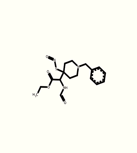 CCOC(=O)C(NC=O)C1(SN=O)CCN(Cc2ccccc2)CC1